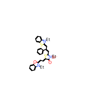 CCN1C(=CC=C2SC(C=C(C=C3Sc4ccccc4N3CC)c3ccccc3)=[N+](CC)C2=O)Oc2ccccc21.[Br-]